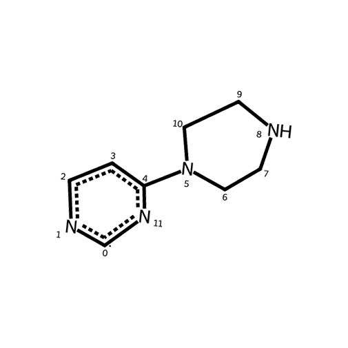 [c]1nccc(N2CCNCC2)n1